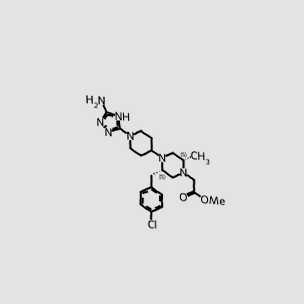 COC(=O)CN1C[C@H](Cc2ccc(Cl)cc2)N(C2CCN(c3nnc(N)[nH]3)CC2)C[C@@H]1C